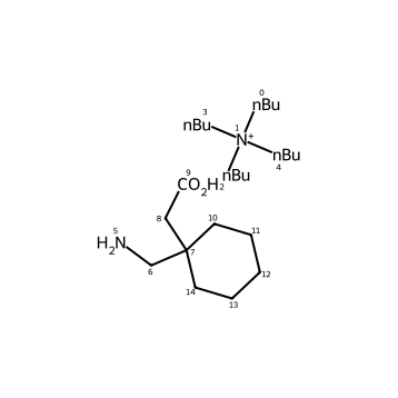 CCCC[N+](CCCC)(CCCC)CCCC.NCC1(CC(=O)O)CCCCC1